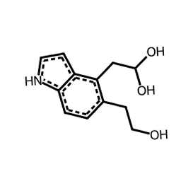 OCCc1ccc2[nH]ccc2c1CC(O)O